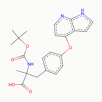 CC(C)(C)OC(=O)NC(C)(Cc1ccc(Oc2ccnc3[nH]ccc23)cc1)C(=O)O